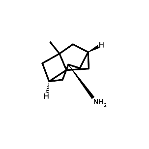 CC12C[C@@H]3CC1[C@@H](C[C@@H](N)C3)C2